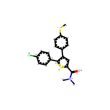 CSc1ccc(-c2cc(C(=O)N(C)C)sc2-c2ccc(Cl)cc2)cc1